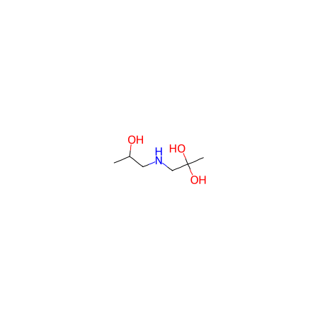 CC(O)CNCC(C)(O)O